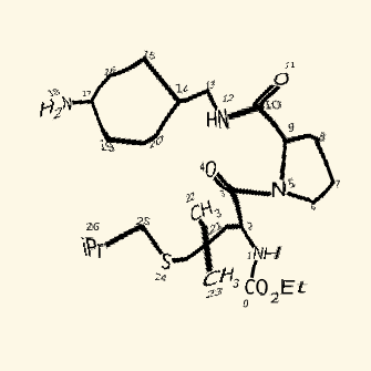 CCOC(=O)NC(C(=O)N1CCCC1C(=O)NCC1CCC(N)CC1)C(C)(C)SCC(C)C